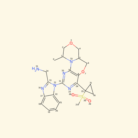 CC1COCC2COc3c(nc(-n4c(CN)nc5ccccc54)nc3C3(S(C)(=O)=O)CC3)N12